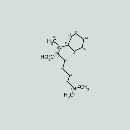 CN(C)CCCC[C@H](C(=O)O)N(C)C1CCCCC1